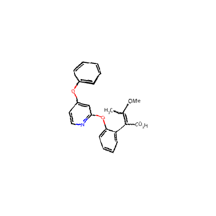 COC(C)=C(C(=O)O)c1ccccc1Oc1cc(Oc2ccccc2)ccn1